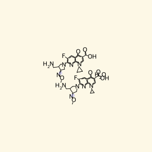 CO/N=C1\CN(c2nc3c(cc2F)c(=O)c(C(=O)O)cn3C2CC2)CC1CN.CO/N=C1\CN(c2nc3c(cc2F)c(=O)c(C(=O)O)cn3C2CC2)CC1CN.O